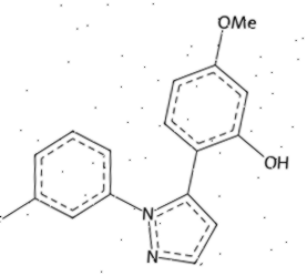 COc1ccc(-c2ccnn2-c2cccc(F)c2)c(O)c1